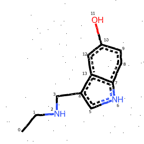 CCNCc1c[nH]c2ccc(O)cc12